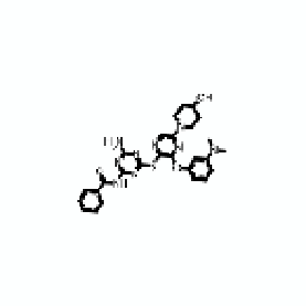 CN(C)c1cccc(Oc2nc(N3CCC(O)CC3)cnc2Sc2nc(N)nc(NC(=O)c3ccccc3)n2)c1